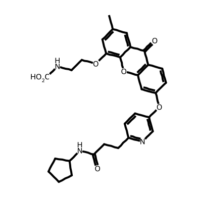 Cc1cc(OCCNC(=O)O)c2oc3cc(Oc4ccc(CCC(=O)NC5CCCC5)nc4)ccc3c(=O)c2c1